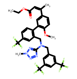 CCOC(=O)/C=C(/C)c1ccc(OC)c(-c2ccc(C(F)(F)F)cc2CN(Cc2cc(C(F)(F)F)cc(C(F)(F)F)c2)c2nnn(C)n2)c1